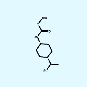 CC([C@H]1CC[C@@H](NC(=O)OC(C)(C)C)CC1)C(C)(C)C